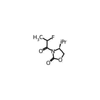 CC(F)C(=O)N1C(=O)OC[C@@H]1C(C)C